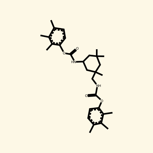 Cc1ccc(OC(=O)NCC2(C)CC(NC(=O)Oc3ccc(C)c(C)c3C)CC(C)(C)C2)c(C)c1C